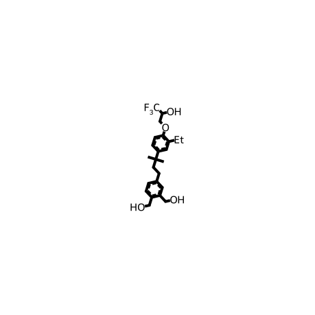 CCc1cc(C(C)(C)CCc2ccc(CO)c(CO)c2)ccc1OCC(O)C(F)(F)F